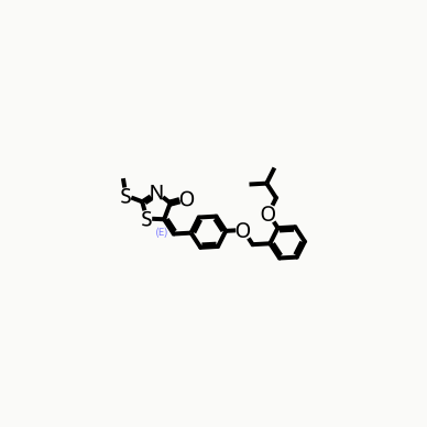 CSC1=NC(=O)/C(=C\c2ccc(OCc3ccccc3OCC(C)C)cc2)S1